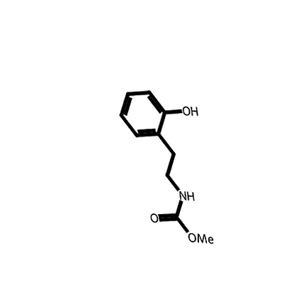 COC(=O)NCCc1ccccc1O